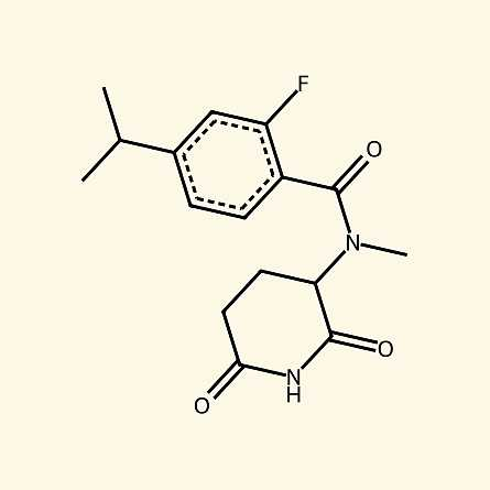 CC(C)c1ccc(C(=O)N(C)C2CCC(=O)NC2=O)c(F)c1